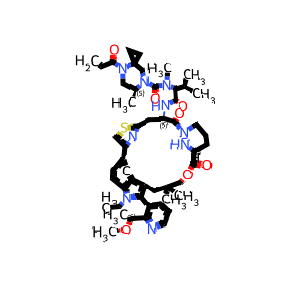 C=CC(=O)N1C[C@H](C)N(C(=O)N(C)C(C(=O)N[C@H]2Cc3nc(cs3)-c3ccc4c(c3)c(c(-c3cccnc3[C@H](C)OC)n4CC)CC(C)(C)COC(=O)[C@@H]3CCCN(N3)C2=O)C(C)C)CC12CC2